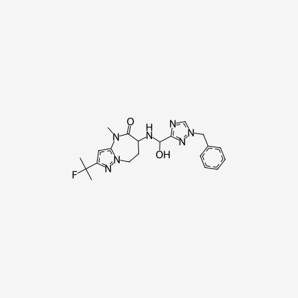 CN1C(=O)C(NC(O)c2ncn(Cc3ccccc3)n2)CCn2nc(C(C)(C)F)cc21